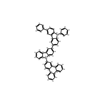 c1ccc(-c2ccc3c(c2)c2cc(-c4ccc5c(c4)c4ccccc4n5-c4ccc5c6ccccc6c6ccccc6c5c4)ccc2n3-c2ccccc2)cc1